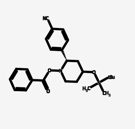 CC(C)(C)[Si](C)(C)OC1CCN(OC(=O)c2ccccc2)[C@H](c2ccc(C#N)cc2)C1